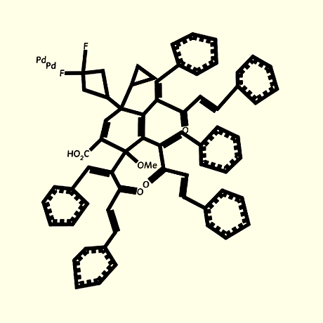 COC1(C(=Cc2ccccc2)C(=O)C=Cc2ccccc2)C(C(=O)O)=CC(C2CC2)(C2CC(F)(F)C2)C(C(=Cc2ccccc2)C(=O)C=Cc2ccccc2)=C1C(=Cc1ccccc1)C(=O)C=Cc1ccccc1.[Pd].[Pd]